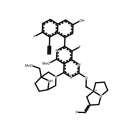 C#Cc1c(F)ccc2cc(O)cc(-c3nc(OC)c4c(N5CC6CCC(COC)(C5)N6)nc(OC[C@@]56CCCN5C/C(=C/F)C6)nc4c3F)c12